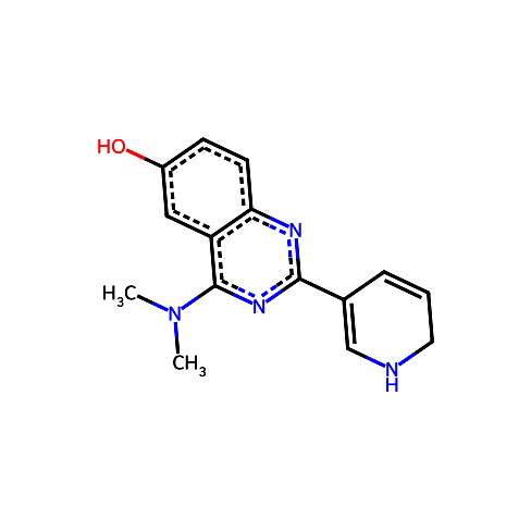 CN(C)c1nc(C2=CNCC=C2)nc2ccc(O)cc12